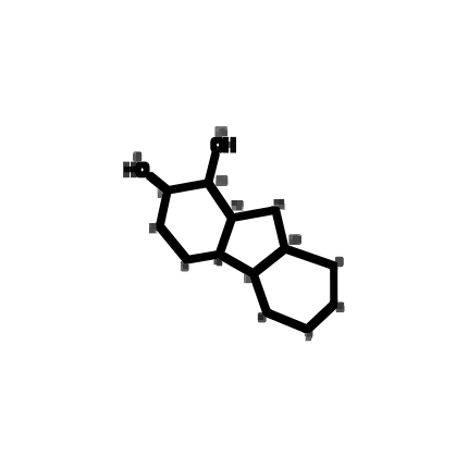 OC1CCC2C3CCCCC3CC2C1O